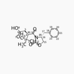 CC(C)(C)[C@@H](CC(=O)O)C(=O)N1C(=O)OC[C@H]1Cc1ccccc1